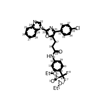 CCOP(=O)(OCC)C(F)(F)c1ccc(NC(=O)CCc2oc(-n3cnc4ccccc43)nc2-c2ccc(Cl)cc2)cc1